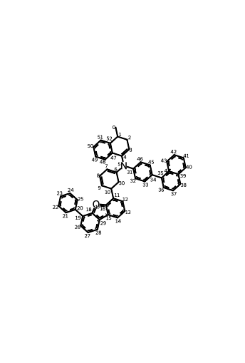 CC1CC=C(N(C2=CC=CC(c3cccc4c3oc3c(-c5ccccc5)cccc34)C2)c2ccc(-c3cccc4ccccc34)cc2)c2ccccc21